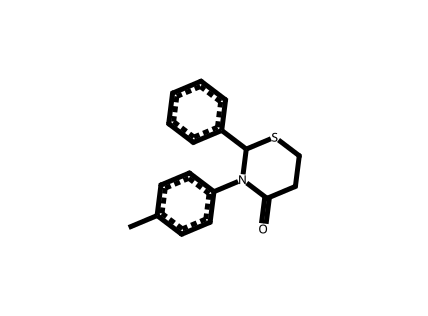 Cc1ccc(N2C(=O)CCSC2c2ccccc2)cc1